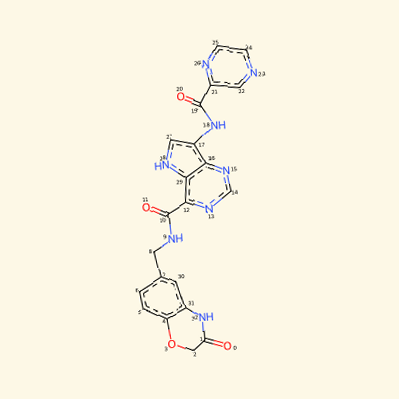 O=C1COc2ccc(CNC(=O)c3ncnc4c(NC(=O)c5cnccn5)c[nH]c34)cc2N1